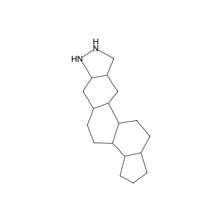 C1CC2CCC3C4CC5CNNC5CC4CCC3C2C1